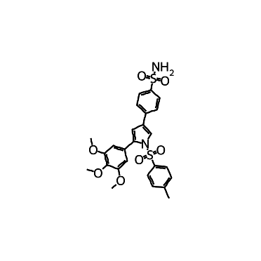 COc1cc(-c2cc(-c3ccc(S(N)(=O)=O)cc3)cn2S(=O)(=O)c2ccc(C)cc2)cc(OC)c1OC